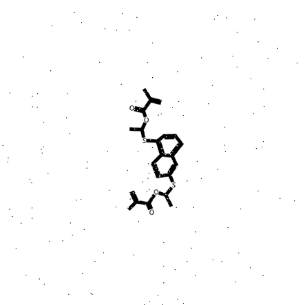 C=C(C)C(=O)OC(C)Sc1ccc2c(SC(C)OC(=O)C(=C)C)cccc2c1